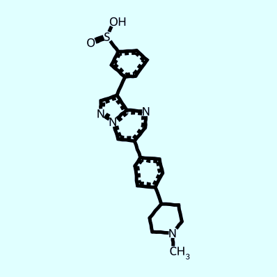 CN1CCC(c2ccc(-c3cnc4c(-c5cccc(S(=O)O)c5)cnn4c3)cc2)CC1